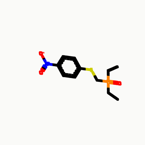 CCP(=O)(CC)CSc1ccc([N+](=O)[O-])cc1